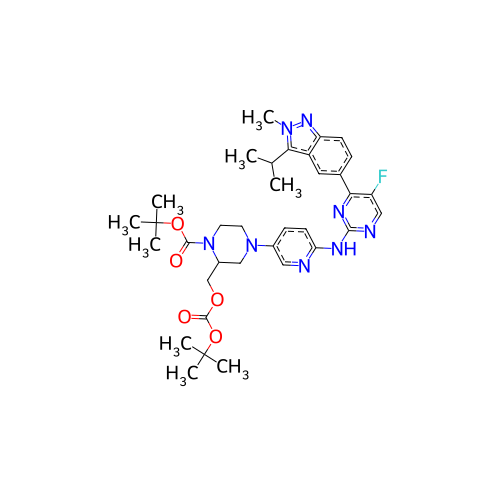 CC(C)c1c2cc(-c3nc(Nc4ccc(N5CCN(C(=O)OC(C)(C)C)C(COC(=O)OC(C)(C)C)C5)cn4)ncc3F)ccc2nn1C